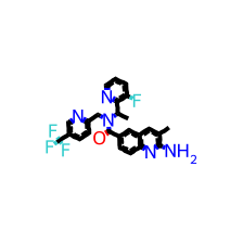 Cc1cc2cc(C(=O)N(Cc3ccc(C(F)(F)F)cn3)C(C)c3ncccc3F)ccc2nc1N